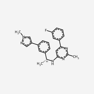 Cc1nc(N[C@H](C)c2cccc(-c3cnn(C)c3)c2)cc(-c2cccc(F)c2)n1